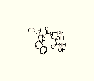 CC(C)CN(C[C@H](O)C(=O)NO)C(=O)N[C@@H](Cc1ccc2ccccc2c1)C(=O)O